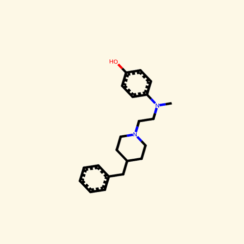 CN(CCN1CCC(Cc2ccccc2)CC1)c1ccc(O)cc1